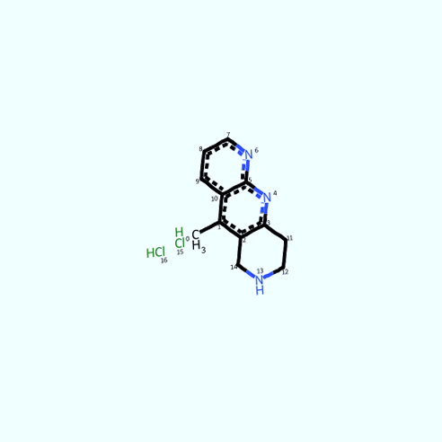 Cc1c2c(nc3ncccc13)CCNC2.Cl.Cl